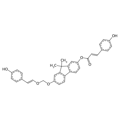 CC1(C)c2cc(OCOC=Cc3ccc(O)cc3)ccc2-c2ccc(OC(=O)C=Cc3ccc(O)cc3)cc21